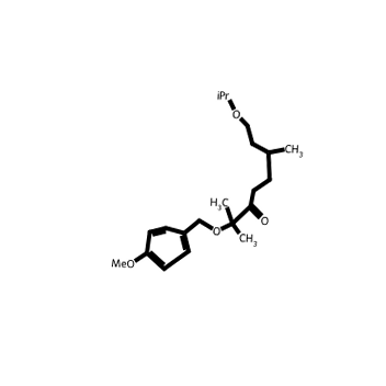 COc1ccc(COC(C)(C)C(=O)CCC(C)CCOC(C)C)cc1